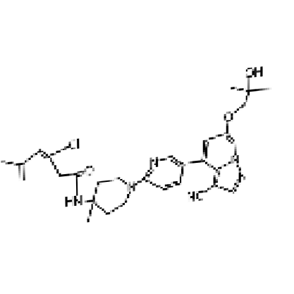 C=C(C)/C=C(/Cl)CC(=O)NC1(C)CCN(c2ccc(-c3cc(OCC(C)(C)O)cn4ncc(C#N)c34)cn2)CC1